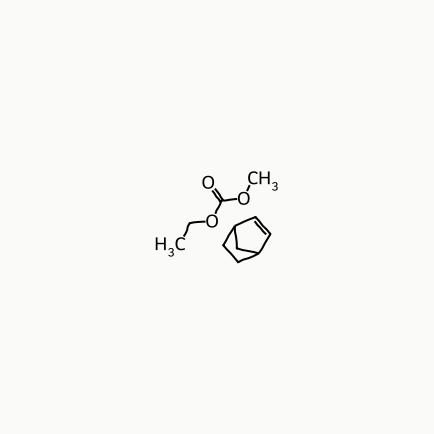 C1=CC2CCC1C2.CCOC(=O)OC